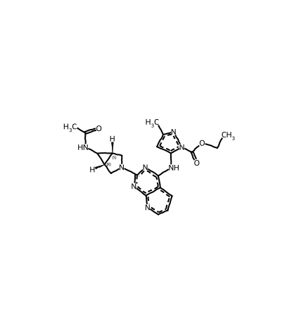 CCOC(=O)n1nc(C)cc1Nc1nc(N2C[C@@H]3C(NC(C)=O)[C@@H]3C2)nc2ncccc12